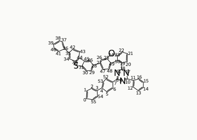 c1ccc(-c2ccc(-c3nc(-c4ccccc4)nc(-c4cccc5oc6cc(-c7ccc8sc9cc(-c%10ccccc%10)ccc9c8c7)ccc6c45)n3)cc2)cc1